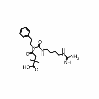 CC(C)(CC(=O)N(CCc1ccccc1)C(=O)NCCCCNC(=N)N)C(=O)O